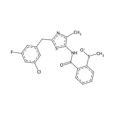 Cc1nc(Cc2cc(F)cc(Cl)c2)sc1NC(=O)c1ccccc1[S+](C)[O-]